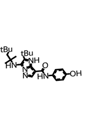 CC(C)(C)CC(C)(C)Nc1c(C(C)(C)C)[nH]c2c(C(=O)Nc3ccc(O)cc3)cnn12